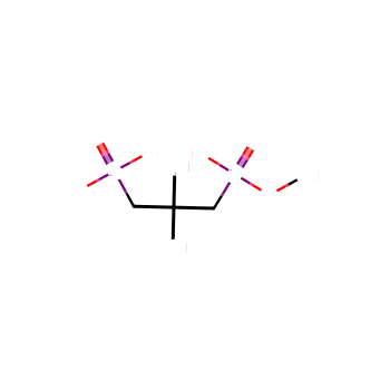 COP(=O)(O)CC(C)(C)CP(=O)(O)O